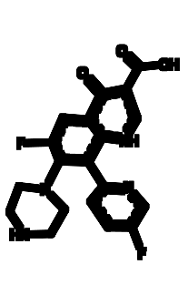 O=C(O)c1c[nH]c2c(-c3ccc(F)cn3)c(N3CCNCC3)c(F)cc2c1=O